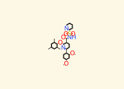 COc1ccc(-c2ccc(C(=O)NS(=O)(=O)c3ccccn3)c(Oc3c(C)cc(C)cc3C)n2)c(OC)c1